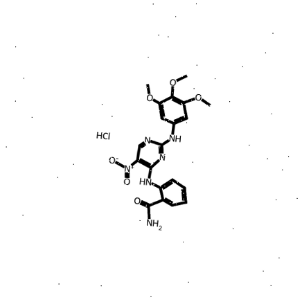 COc1cc(Nc2ncc([N+](=O)[O-])c(Nc3ccccc3C(N)=O)n2)cc(OC)c1OC.Cl